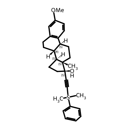 COc1ccc2c(c1)CC[C@@H]1[C@@H]2CC[C@@]2(C)[C@H]1CC[C@@]2(O)C#CS(C)(C)c1ccccc1